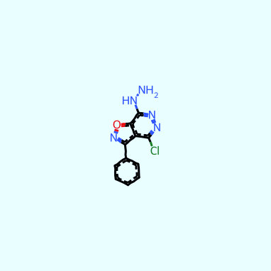 NNc1nnc(Cl)c2c(-c3ccccc3)noc12